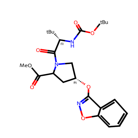 COC(=O)C1C[C@@H](Oc2noc3ccccc23)CN1C(=O)[C@@H](NC(=O)OC(C)(C)C)C(C)(C)C